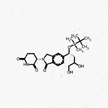 CC(C)(C)[Si](C)(C)O[C@H](CC(O)CO)c1ccc2c(c1)CN([C@H]1CCC(=O)NC1=O)C2=O